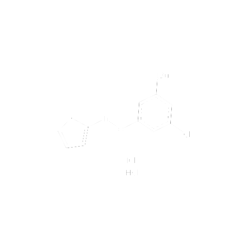 CC(C)(C)c1cc(Cl)cc([O][Ti][C]2=CC=CC2)c1.Cl.Cl